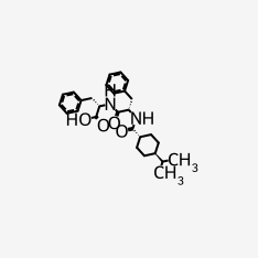 CC(C)[C@H]1CC[C@H](C(=O)N[C@@H](Cc2ccccc2)C(=O)N[C@@H](Cc2ccccc2)C(=O)O)CC1